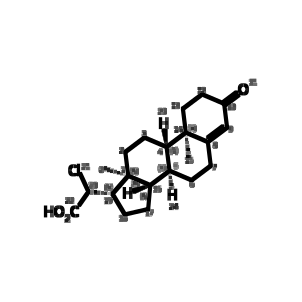 C[C@]12CC[C@H]3[C@@H](CCC4=CC(=O)CC[C@@]43C)[C@@H]1CC[C@@H]2C(Cl)C(=O)O